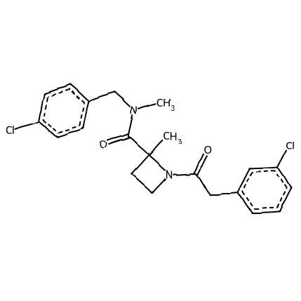 CN(Cc1ccc(Cl)cc1)C(=O)C1(C)CCN1C(=O)Cc1cccc(Cl)c1